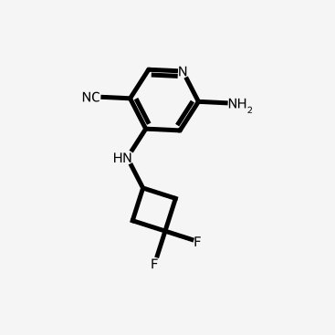 N#Cc1cnc(N)cc1NC1CC(F)(F)C1